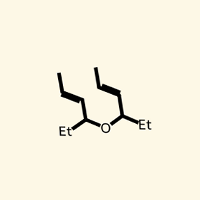 CC=CC(CC)OC(C=CC)CC